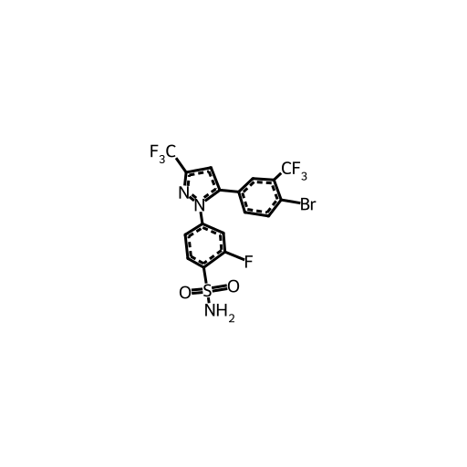 NS(=O)(=O)c1ccc(-n2nc(C(F)(F)F)cc2-c2ccc(Br)c(C(F)(F)F)c2)cc1F